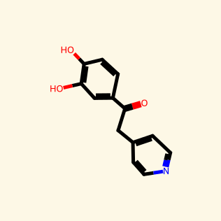 O=C(Cc1ccncc1)c1ccc(O)c(O)c1